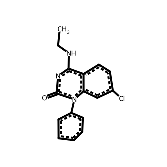 CCNc1nc(=O)n(-c2ccccc2)c2cc(Cl)ccc12